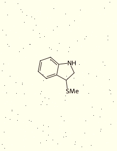 CSC1CNc2ccccc21